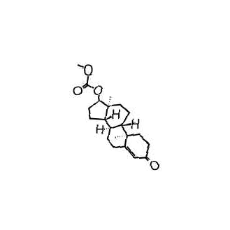 COC(=O)OC1CC[C@H]2[C@@H]3CCC4=CC(=O)CC[C@]4(C)[C@H]3CC[C@]12C